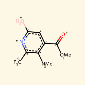 Bc1cc(C(=O)OC)c(NC)c(C(F)(F)F)n1